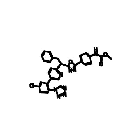 COC(=O)Nc1ccc(-c2nnc(C(Cc3ccccc3)c3ccc(-c4cc(Cl)ccc4-n4cnnn4)cn3)o2)cc1